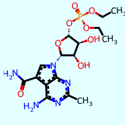 CCOP(=O)(OCC)O[C@H]1O[C@@H](n2cc(C(N)=O)c3c(N)nc(C)nc32)[C@H](O)[C@@H]1O